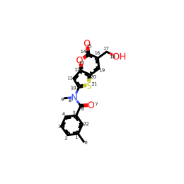 Cc1cccc(C(=O)N(C)c2cc3oc(=O)c(CO)cc3s2)c1